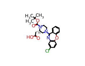 CC(C)(C)OC(=O)N1CCN(C2=Nc3cc(Cl)ccc3Oc3ccccc32)C[C@@H]1CC(=O)O